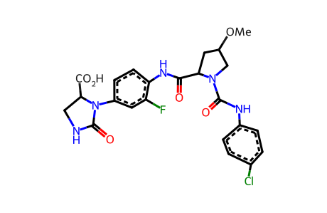 COC1CC(C(=O)Nc2ccc(N3C(=O)NCC3C(=O)O)cc2F)N(C(=O)Nc2ccc(Cl)cc2)C1